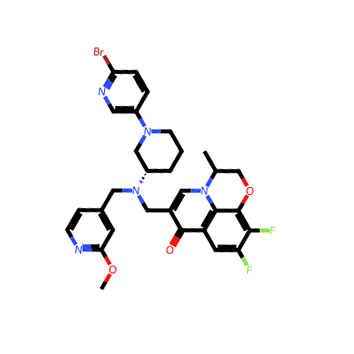 COc1cc(CN(Cc2cn3c4c(c(F)c(F)cc4c2=O)OCC3C)[C@H]2CCCN(c3ccc(Br)nc3)C2)ccn1